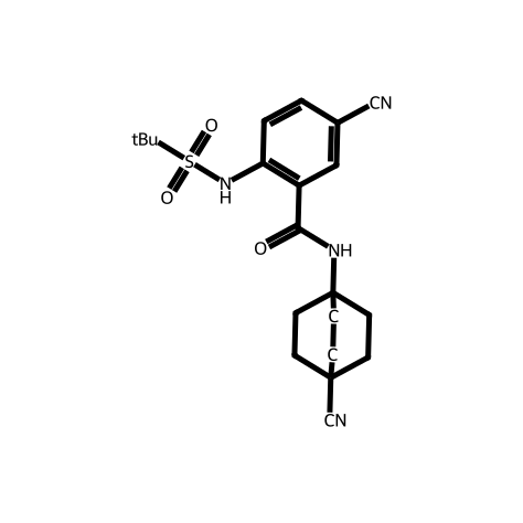 CC(C)(C)S(=O)(=O)Nc1ccc(C#N)cc1C(=O)NC12CCC(C#N)(CC1)CC2